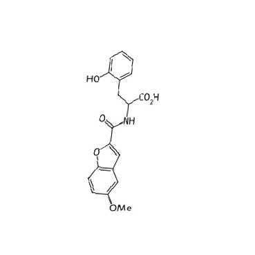 COc1ccc2oc(C(=O)NC(Cc3ccccc3O)C(=O)O)cc2c1